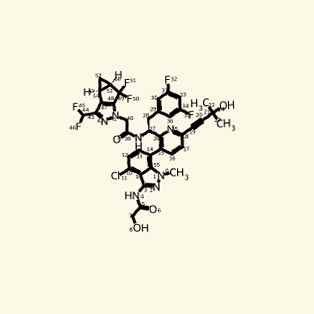 Cn1nc(NC(=O)CO)c2c(Cl)ccc(-c3ccc(C#CC(C)(C)O)nc3[C@H](Cc3cc(F)cc(F)c3)NC(=O)Cn3nc(C(F)F)c4c3C(F)(F)[C@@H]3C[C@H]43)c21